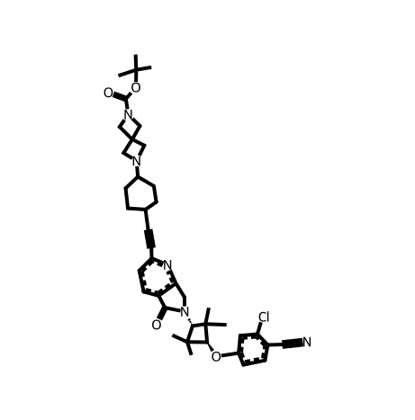 CC(C)(C)OC(=O)N1CC2(C1)CN(C1CCC(C#Cc3ccc4c(n3)CN([C@H]3C(C)(C)[C@H](Oc5ccc(C#N)c(Cl)c5)C3(C)C)C4=O)CC1)C2